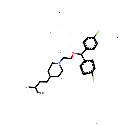 CCC(CCC1CCN(CCOC(c2ccc(F)cc2)c2ccc(F)cc2)CC1)C(=O)O